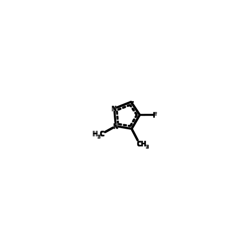 Cc1c(F)[c]nn1C